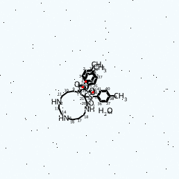 Cc1ccc(S(=O)(=O)N2CCCNCCNCCCNCC2(S(=O)(=O)c2ccc(C)cc2)S(=O)(=O)c2ccc(C)cc2)cc1.O